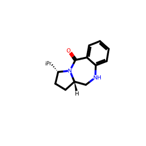 CC(C)[C@H]1CC[C@H]2CNc3ccccc3C(=O)N21